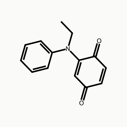 CCN(C1=CC(=O)C=CC1=O)c1ccccc1